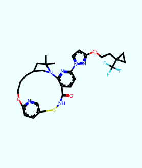 CC1(C)CC2CCCOc3ccc(cn3)SNC(=O)c3ccc(-n4ccc(OCCC5(C(F)(F)F)CC5)n4)nc3N1C2